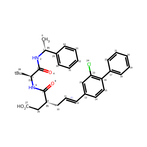 C[C@@H](NC(=O)[C@@H](NC(=O)[C@H](C/C=C/c1ccc(-c2ccccc2)c(Cl)c1)CC(=O)O)C(C)(C)C)c1ccccc1